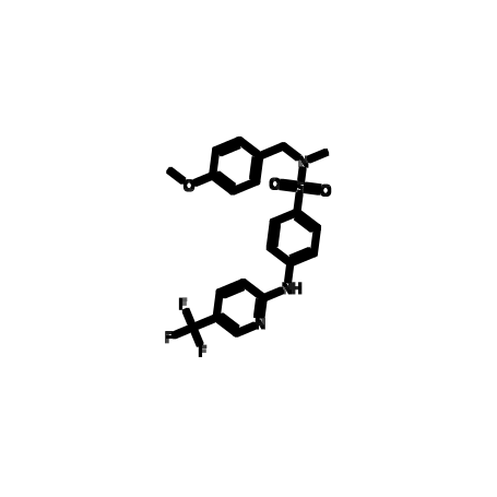 COc1ccc(CN(C)S(=O)(=O)c2ccc(Nc3ccc(C(F)(F)F)cn3)cc2)cc1